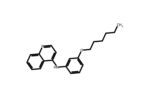 CCCCCCOc1cccc(Nc2ccnc3ccccc23)c1